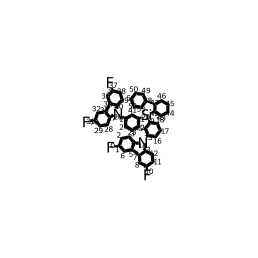 Fc1ccc2c(c1)c1cc(F)ccc1n2-c1cccc([Si]2(c3cccc(-n4c5ccc(F)cc5c5cc(F)ccc54)c3)c3ccccc3-c3ccccc32)c1